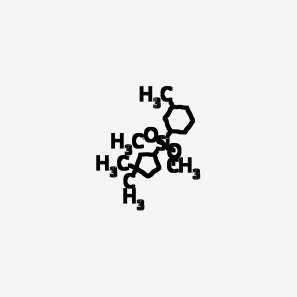 CO[Si](OC)(C1CCCC(C)C1)C1CCC(C)(C)C1